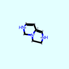 C1=CC2=CNCCN2CN1